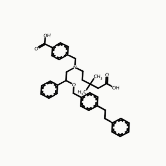 CC(C)(CCN(Cc1ccc(C(=O)O)cc1)CC(OCc1ccc(CCc2ccccc2)cc1)c1ccccc1)CC(=O)O